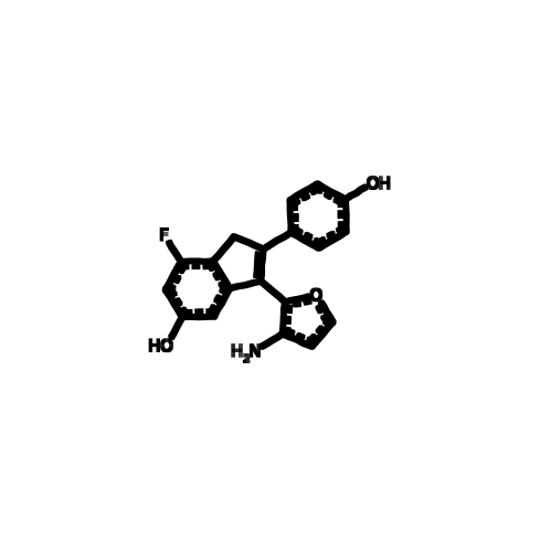 Nc1ccoc1C1=C(c2ccc(O)cc2)Cc2c(F)cc(O)cc21